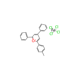 Cc1ccc(-c2cc(-c3ccccc3)cc(-c3ccccc3)[o+]2)cc1.[Cl][Fe-]([Cl])([Cl])[Cl]